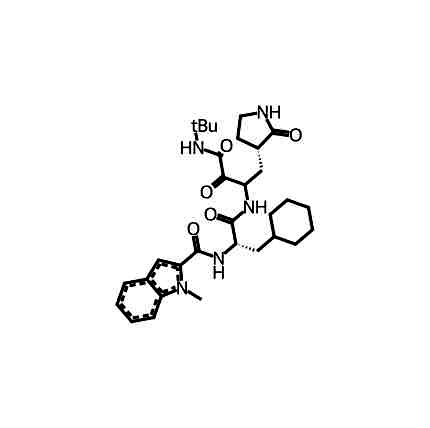 Cn1c(C(=O)N[C@@H](CC2CCCCC2)C(=O)NC(C[C@@H]2CCNC2=O)C(=O)C(=O)NC(C)(C)C)cc2ccccc21